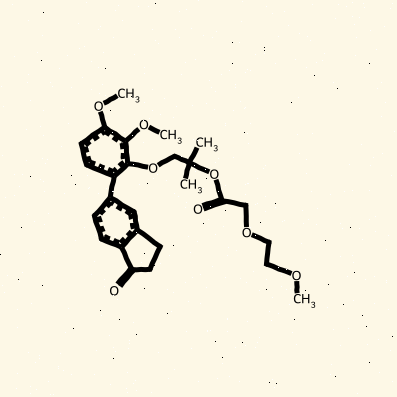 COCCOCC(=O)OC(C)(C)COc1c(-c2ccc3c(c2)CCC3=O)ccc(OC)c1OC